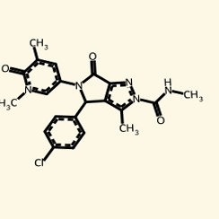 CNC(=O)n1nc2c(c1C)C(c1ccc(Cl)cc1)N(c1cc(C)c(=O)n(C)c1)C2=O